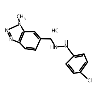 Cl.Cn1nnc2ccc(CNNc3ccc(Cl)cc3)cc21